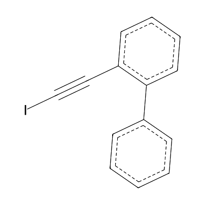 IC#Cc1ccccc1-c1ccccc1